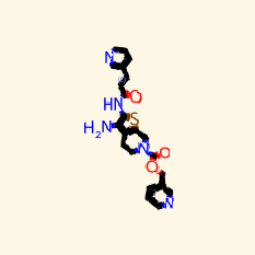 Nc1c(NC(=O)/C=C/c2cccnc2)sc2c1CCN(C(=O)OCc1cccnc1)C2